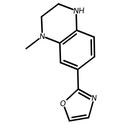 CN1CCNc2ccc(-c3ncco3)cc21